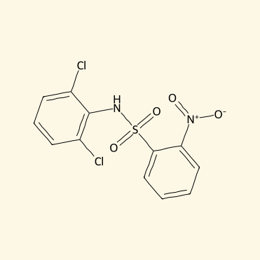 O=[N+]([O-])c1ccccc1S(=O)(=O)Nc1c(Cl)cccc1Cl